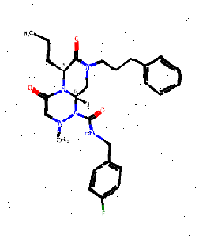 CCC[C@H]1C(=O)N(CCCc2ccccc2)C[C@H]2N1C(=O)CN(C)N2C(=O)NCc1ccc(F)cc1